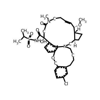 CO[C@H]1/C=C/CCN(C)C(=O)C[C@](O)(C(=O)NS(=O)(=O)C(C)C)c2ccc3c(c2)N(CCCCc2cc(Cl)ccc2CO3)C[C@@H]2CC[C@H]21